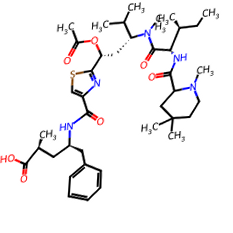 CC[C@H](C)[C@H](NC(=O)C1CC(C)(C)CCN1C)C(=O)N(C)[C@H](C[C@@H](OC(C)=O)c1nc(C(=O)N[C@@H](Cc2ccccc2)C[C@H](C)C(=O)O)cs1)C(C)C